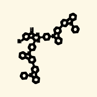 Brc1ccc2[nH]c3nc(-c4ccc(-n5c6ccccc6c6cc(-c7ccc8c9ccccc9n(-c9ccccc9)c8c7)ccc65)cc4)nc(-c4ccc(-n5c6ccccc6c6cc(-c7ccc8c9ccccc9n(-c9ccccc9)c8c7)ccc65)cc4)c3c2c1